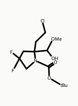 COC(O)C1(CCCl)CC(F)(F)CN1C(=O)OC(C)(C)C